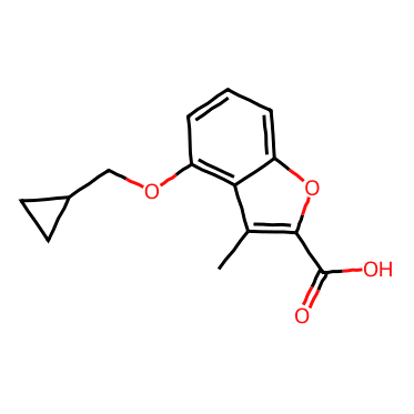 Cc1c(C(=O)O)oc2cccc(OCC3CC3)c12